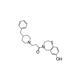 O=C(CCN1CCC(Cc2ccccc2)CC1)N1CCSc2ccc(O)cc2C1